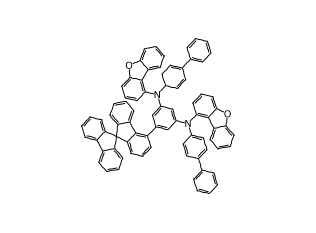 C1=CC(N(c2cc(-c3cccc4c3-c3ccccc3C43c4ccccc4-c4ccccc43)cc(N(c3ccc(-c4ccccc4)cc3)c3cccc4oc5ccccc5c34)c2)c2cccc3oc4ccccc4c23)CC=C1c1ccccc1